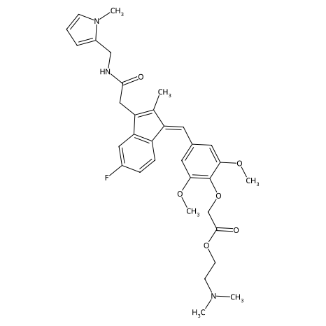 COc1cc(/C=C2/C(C)=C(CC(=O)NCc3cccn3C)c3cc(F)ccc32)cc(OC)c1OCC(=O)OCCN(C)C